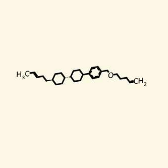 C=CCCCOCc1ccc(C2CCC([C@H]3CC[C@H](CC/C=C/C)CC3)CC2)cc1